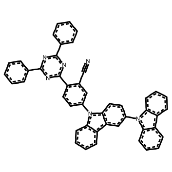 N#Cc1cc(-n2c3ccccc3c3cc(-n4c5ccccc5c5ccccc54)ccc32)ccc1-c1nc(-c2ccccc2)nc(-c2ccccc2)n1